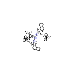 CC1(C)C(/C=C/C(Br)=C/C=C2/N(CCCS(=O)(=O)[O-])c3ccc4ccccc4c3C2(C)C)=[N+](CCCS(=O)(=O)[O-])c2ccc3ccccc3c21.[Na+]